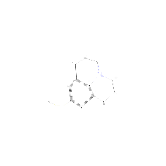 CSc1cc2c3c(c1)CCCN3CCC2